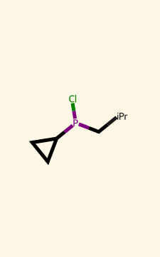 CC(C)CP(Cl)C1CC1